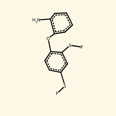 Nc1ccccc1Oc1ccc(SF)cc1SF